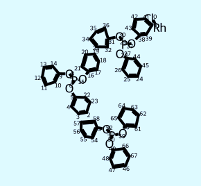 [Cl][Rh].c1ccc(OP(Oc2ccccc2)Oc2ccccc2)cc1.c1ccc(OP(Oc2ccccc2)Oc2ccccc2)cc1.c1ccc(OP(Oc2ccccc2)Oc2ccccc2)cc1